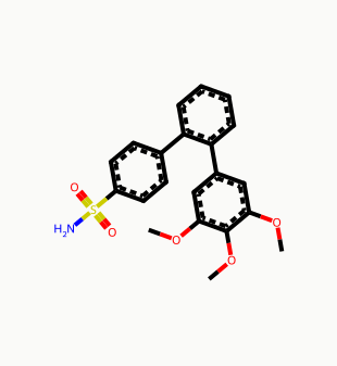 COc1cc(-c2ccccc2-c2ccc(S(N)(=O)=O)cc2)cc(OC)c1OC